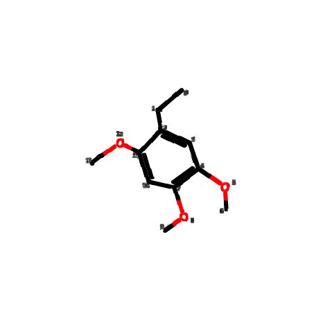 C[CH]c1cc(OC)c(OC)cc1OC